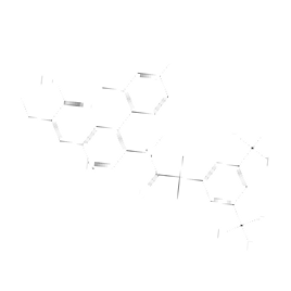 CCC(=Cc1cc(-c2ccc(F)cc2C)c(N(C)C(=O)C(C)(C)c2cc(C(F)(F)F)cc(C(F)(F)F)c2)cn1)C(=O)O